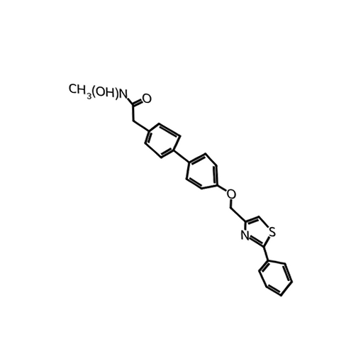 CN(O)C(=O)Cc1ccc(-c2ccc(OCc3csc(-c4ccccc4)n3)cc2)cc1